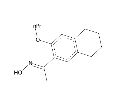 CCCOc1cc2c(cc1C(C)=NO)CCCC2